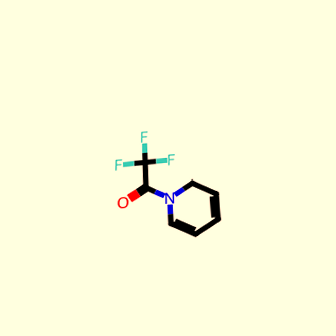 O=C(N1[CH]C=CC=C1)C(F)(F)F